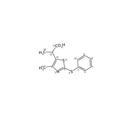 Cc1nc(Sc2ccccc2)sc1C(C)C(=O)O